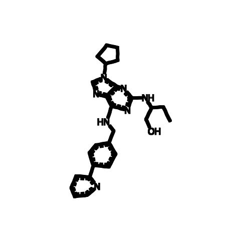 CCC(CO)Nc1nc(NCc2ccc(-c3ccccn3)cc2)c2ncn(C3CCCC3)c2n1